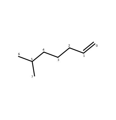 C=CCCCC(C)C